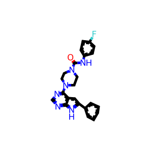 O=C(Nc1ccc(F)cc1)N1CCN(c2ncnc3[nH]c(-c4ccccc4)cc23)CC1